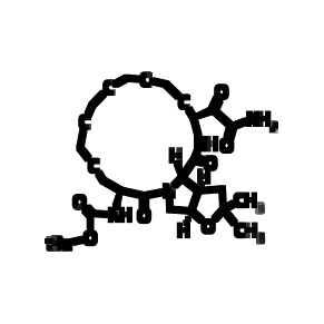 CC(C)(C)OC(=O)N[C@H]1CCCCCCCCCC[C@@H](C(=O)C(N)=O)NC(=O)[C@@H]2[C@H]3CC(C)(C)O[C@H]3CN2C1=O